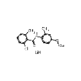 Cc1cc(OC(C)(C)C)ccc1PC(=O)c1c(C)cccc1Cl.[LiH]